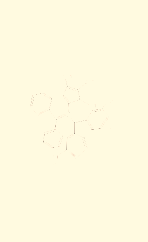 CCCC1=C(CCC)C(CCC)[C]([Zr+2](=[C](c2ccccc2)c2ccccc2)[CH]2c3cc(C(C)(C)C)ccc3-c3ccc(C(C)(C)C)cc32)=C1.[Cl-].[Cl-]